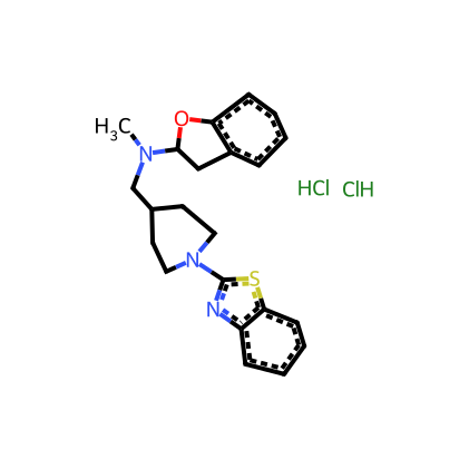 CN(CC1CCN(c2nc3ccccc3s2)CC1)C1Cc2ccccc2O1.Cl.Cl